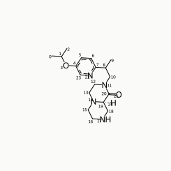 CC(C)Oc1ccc(C(C)CN2CCN3CCNC[C@@H]3C2=O)nc1